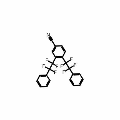 N#Cc1ccc(C(F)(F)C(F)(F)c2ccccc2)c(C(F)(F)C(F)(F)c2ccccc2)c1